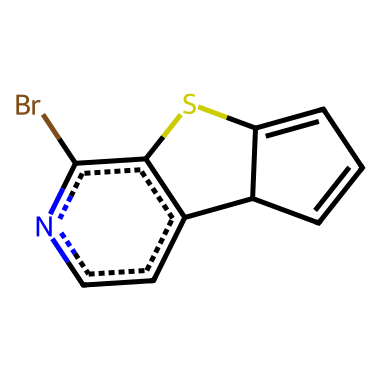 Brc1nccc2c1SC1=CC=CC12